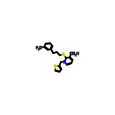 O=C(O)C1=CC=CN(Cc2cccs2)C1SCCCc1cccc(C(F)(F)F)c1